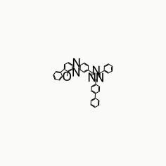 c1ccc(-c2ccc(-c3nc(-c4ccccc4)nc(-c4ccc5nc6ccc7c8ccccc8oc7c6nc5c4)n3)cc2)cc1